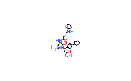 CC[C@H](NC(=O)CCCNc1ccccn1)C(=O)NC(CC(=O)O)c1ccc(-c2ccccc2)cc1